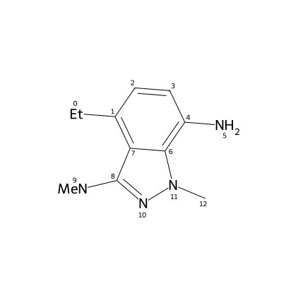 CCc1ccc(N)c2c1c(NC)nn2C